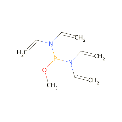 C=CN(C=C)P(OC)N(C=C)C=C